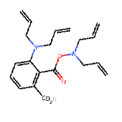 C=CCN(CC=C)OC(=O)c1c(C(=O)O)cccc1N(CC=C)CC=C